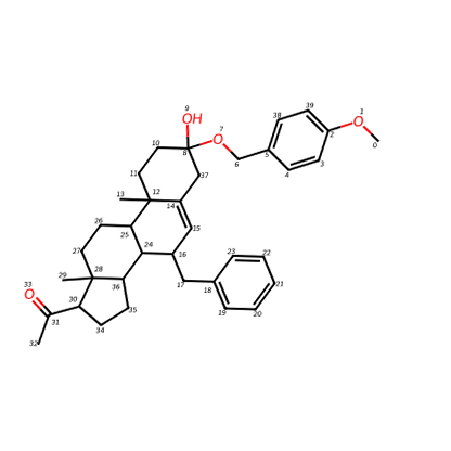 COc1ccc(COC2(O)CCC3(C)C(=CC(Cc4ccccc4)C4C3CCC3(C)C(C(C)=O)CCC43)C2)cc1